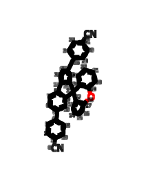 N#Cc1ccc(-c2ccc3c(c2)C2(c4ccccc4Oc4ccccc42)c2cc(-c4ccc(C#N)cc4)ccc2-3)cc1